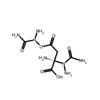 NC(=O)N(N)OC(=O)C[C@](N)(C(=O)O)N(N)C(N)=O